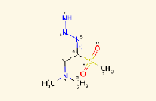 CN(C)C/C(=N\N=N)S(C)(=O)=O